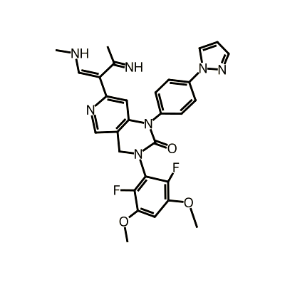 CN/C=C(\C(C)=N)c1cc2c(cn1)CN(c1c(F)c(OC)cc(OC)c1F)C(=O)N2c1ccc(-n2cccn2)cc1